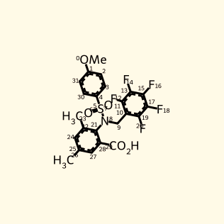 COc1ccc(S(=O)(=O)N(Cc2c(F)c(F)c(F)c(F)c2F)c2c(C)cc(C)cc2C(=O)O)cc1